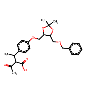 CC(=O)C(C(=O)O)C(C)c1ccc(OCC2OC(C)(C)OC2COCc2ccccc2)cc1